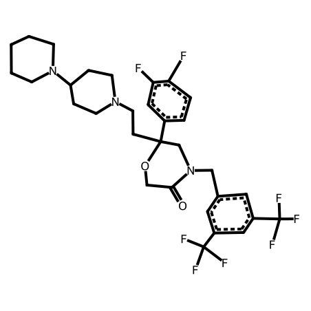 O=C1COC(CCN2CCC(N3CCCCC3)CC2)(c2ccc(F)c(F)c2)CN1Cc1cc(C(F)(F)F)cc(C(F)(F)F)c1